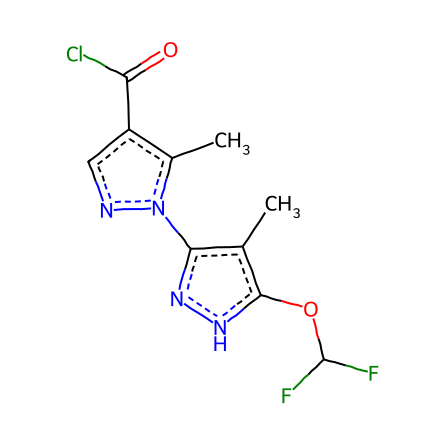 Cc1c(-n2ncc(C(=O)Cl)c2C)n[nH]c1OC(F)F